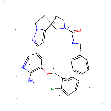 Nc1ncc(-c2cc3n(n2)CC[C@@]32CCN(C(=O)NCc3ccccc3)C2)cc1OCc1ccccc1F